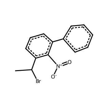 CC(Br)c1cccc(-c2ccccc2)c1[N+](=O)[O-]